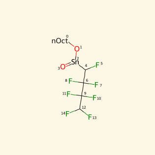 CCCCCCCC[O][Sn](=[O])[CH](F)C(F)(F)C(F)(F)C(F)F